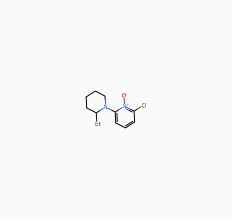 CCC1CCCCN1c1cccc(Cl)[n+]1[O-]